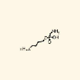 CCCCCCCCCCOP(=O)(O)CN